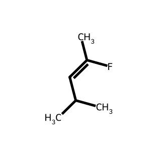 CC(F)=CC(C)C